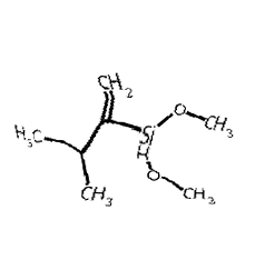 C=C(C(C)C)[SiH](OC)OC